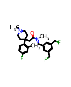 Cc1cc(F)ccc1C1(CC(=O)N(C)Cc2cc(CF)cc(CF)c2)CCN(C)CC1